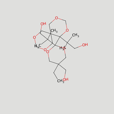 CCC1(CO)COC(C(C)(C)CO)(C2(C(C)(C)CO)OCOCC23COCOC3)OC1